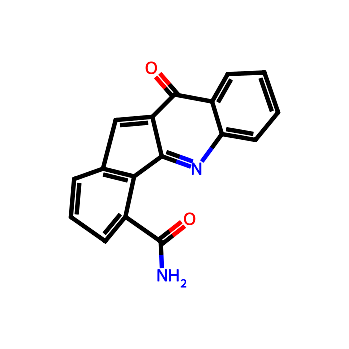 NC(=O)c1cccc2c1C1=Nc3ccccc3C(=O)C1=C2